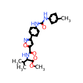 COC(=O)C(NC(=O)c1cc(-c2ccc(NC(=O)Nc3ccc(C)cc3)cc2)no1)C(C)C